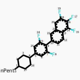 CCCCCC1CCC(c2cc(F)c(-c3ccc4c(F)c(F)c(F)cc4c3)c(F)c2)CC1